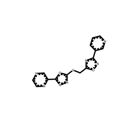 c1cncc(-c2noc(CSc3nnc(-c4cnccn4)o3)n2)c1